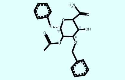 CC(=O)OC1[C@H](Sc2ccccc2)OC(C(N)=O)[C@@H](O)[C@H]1OCc1ccccc1